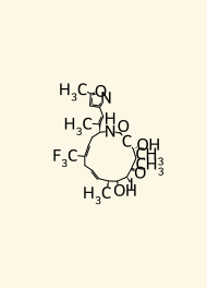 C/C(=C\c1cc(C)on1)[C@@H]1C/C=C(/C(F)(F)F)C/C=C/[C@H](C)[C@H](O)[C@H](I)C(=O)C(C)(C)[C@@H](O)CC(=O)N1